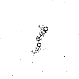 Cc1cccc(Cn2nc(-c3nc(-c4ccc(OC(C)(F)F)cc4)no3)nc2C)n1